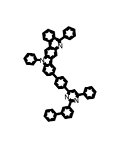 c1ccc(-c2cccc(-c3nc(-c4ccccc4)cc(-c4ccc(-c5ccc6c(c5)c5cc7nc(-c8ccccc8)c8ccccc8c7cc5n6-c5ccccc5)cc4)n3)c2)cc1